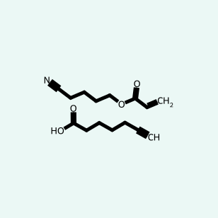 C#CCCCCC(=O)O.C=CC(=O)OCCCCC#N